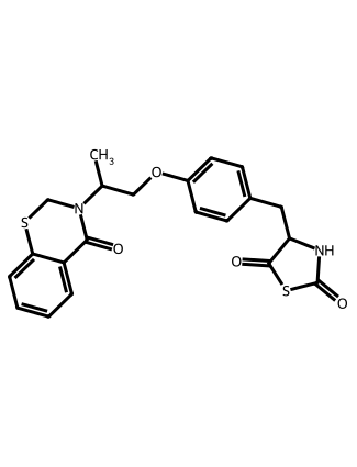 CC(COc1ccc(CC2NC(=O)SC2=O)cc1)N1CSc2ccccc2C1=O